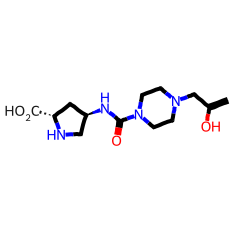 C=C(O)CN1CCN(C(=O)N[C@H]2CN[C@H](C(=O)O)C2)CC1